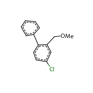 COCc1cc(Cl)ccc1-c1ccccc1